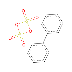 O=S1(=O)OS(=O)(=O)O1.c1ccc(-c2ccccc2)cc1